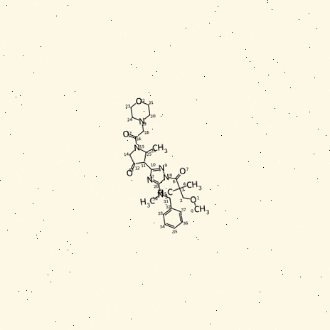 COCC(C)(C)C(=O)n1nc(C2C(=O)CN(C(=O)CN3CCOCC3)C2C)nc1N(C)Cc1ccccc1